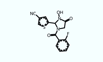 N#Cc1csc(C2N(O)C(=O)CN2C(=O)c2ccccc2F)c1